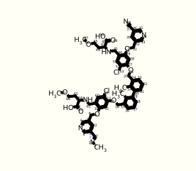 C/N=C/c1cncc(COc2cc(OCc3cccc(-c4cccc(COc5cc(OCc6cncc(C#N)c6)c(CNC(CCOC)C(=O)O)cc5Cl)c4C)c3C)c(Cl)cc2CNC(CCOC)C(=O)O)c1